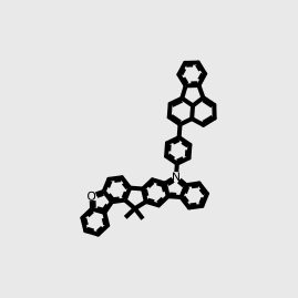 CC1(C)c2cc3c4ccccc4n(-c4ccc(C5=CC=C6c7ccccc7C7=CC=CC5C76)cc4)c3cc2-c2ccc3oc4ccccc4c3c21